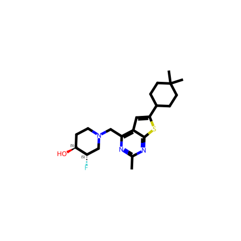 Cc1nc(CN2CC[C@H](O)[C@@H](F)C2)c2cc(C3CCC(C)(C)CC3)sc2n1